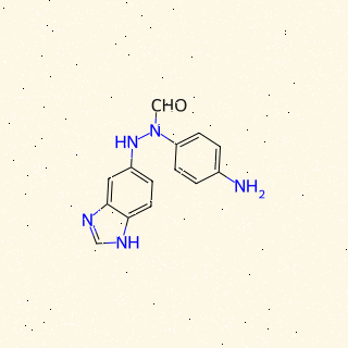 Nc1ccc(N(C=O)Nc2ccc3[nH]cnc3c2)cc1